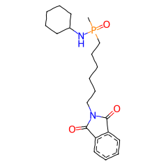 CP(=O)(CCCCCCN1C(=O)c2ccccc2C1=O)NC1CCCCC1